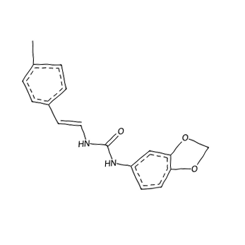 Cc1ccc(/C=C/NC(=O)Nc2ccc3c(c2)OCO3)cc1